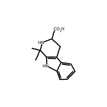 CC1(C)NC(C(=O)O)Cc2c1[nH]c1ccccc21